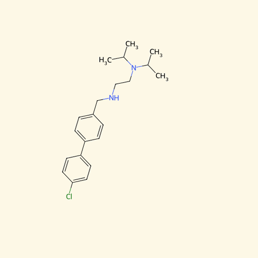 CC(C)N(CCNCc1ccc(-c2ccc(Cl)cc2)cc1)C(C)C